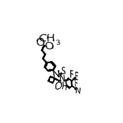 COC(=O)CCCc1ccc(N2C(=S)N(c3ccc(C#N)c(C(F)(F)F)c3)C(O)C23CCC3)cc1